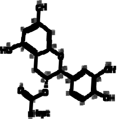 CCCCCCCC(=O)O[C@@H]1Cc2c(O)cc(O)cc2O[C@H]1c1ccc(O)c(O)c1